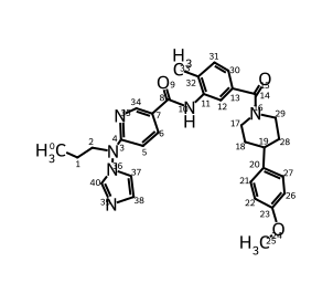 CCCN(c1ccc(C(=O)Nc2cc(C(=O)N3CCC(c4ccc(OC)cc4)CC3)ccc2C)cn1)n1ccnc1